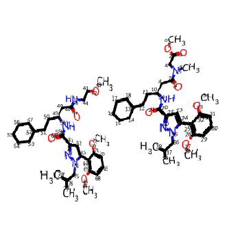 COC(=O)CN(C)C(=O)C[C@H](CCC1CCCCC1)NC(=O)c1cc(-c2c(OC)cccc2OC)n(CC(C)C)n1.COCCNC(=O)C[C@H](CCC1CCCCC1)NC(=O)c1cc(-c2c(OC)cccc2OC)n(CC(C)C)n1